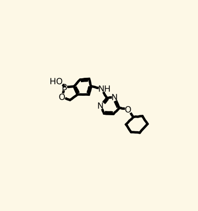 OB1OCc2cc(Nc3nccc(OC4CCCCC4)n3)ccc21